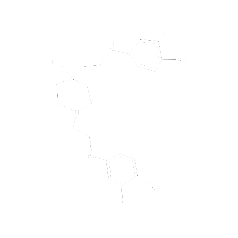 Cc1cc(NCCN2CC[N+](C)(CCNc3ccc(N)c(C)c3)CC2)ccc1N